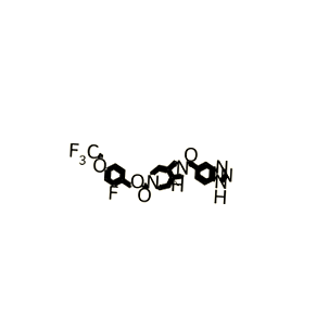 O=C(OCc1ccc(OCC(F)(F)F)cc1F)N1CC=C2CN(C(=O)c3ccc4[nH]nnc4c3)C[C@H]2CC1